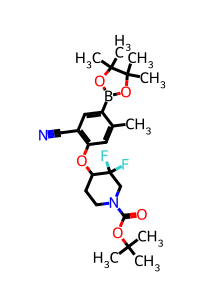 Cc1cc(OC2CCN(C(=O)OC(C)(C)C)CC2(F)F)c(C#N)cc1B1OC(C)(C)C(C)(C)O1